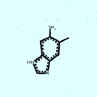 Cc1cc2nc[nH]c2cc1N